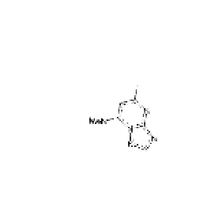 CNc1cc(C)nc2ncnn12